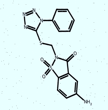 Nc1ccc2c(c1)C(=O)N(CSc1nnnn1-c1ccccc1)S2(=O)=O